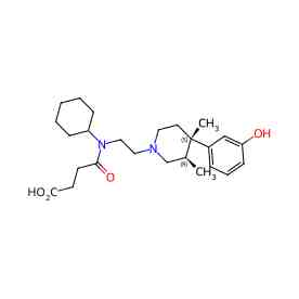 C[C@H]1CN(CCN(C(=O)CCC(=O)O)C2CCCCC2)CC[C@]1(C)c1cccc(O)c1